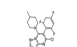 CC1CCN(c2c(C3=C(F)C=C(F)CC3F)c(Cl)nc3ncnn23)CC1